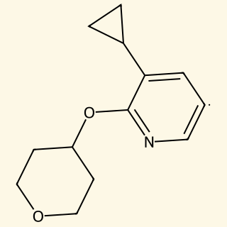 [c]1cnc(OC2CCOCC2)c(C2CC2)c1